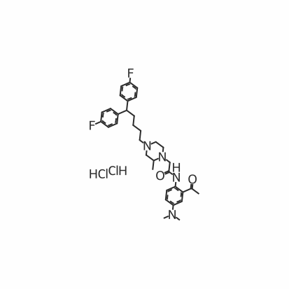 CC(=O)c1cc(N(C)C)ccc1NC(=O)CN1CCN(CCCCC(c2ccc(F)cc2)c2ccc(F)cc2)CC1C.Cl.Cl